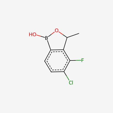 CC1OB(O)c2ccc(Cl)c(F)c21